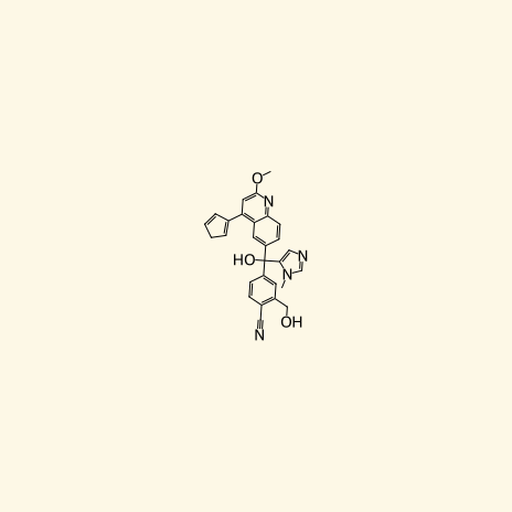 COc1cc(C2=CCC=C2)c2cc(C(O)(c3ccc(C#N)c(CO)c3)c3cncn3C)ccc2n1